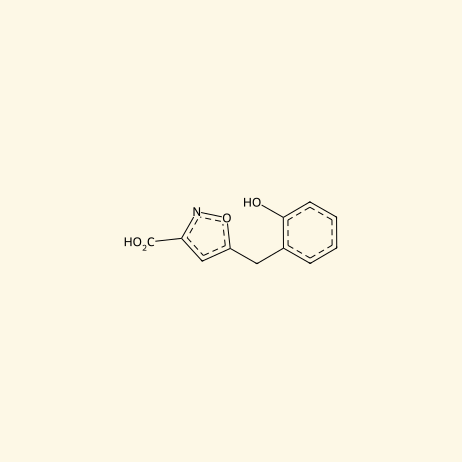 O=C(O)c1cc(Cc2ccccc2O)on1